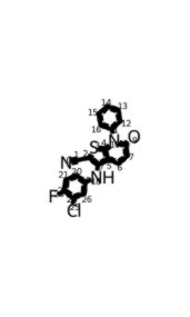 N#Cc1sc2c(ccc(=O)n2-c2ccccc2)c1Nc1ccc(F)c(Cl)c1